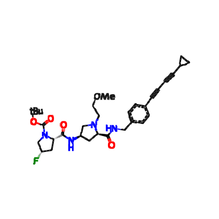 COCCN1C[C@H](NC(=O)[C@@H]2C[C@H](F)CN2C(=O)OC(C)(C)C)C[C@@H]1C(=O)NCc1ccc(C#CC#CC2CC2)cc1